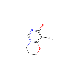 Cc1c2n(cnc1=O)CCCO2